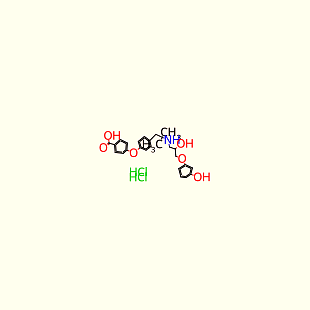 CC(C)(Cc1ccc(Oc2ccc(C(=O)O)cc2)cc1)NCC(O)COc1cccc(O)c1.Cl.Cl